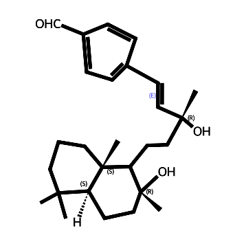 CC1(C)CCC[C@]2(C)C(CC[C@@](C)(O)/C=C/c3ccc(C=O)cc3)[C@](C)(O)CC[C@@H]12